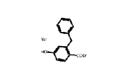 O=C([O-])c1ccc(O)cc1Cc1ccccc1.[Na+]